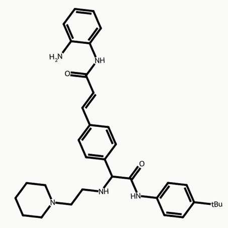 CC(C)(C)c1ccc(NC(=O)C(NCCN2CCCCC2)c2ccc(C=CC(=O)Nc3ccccc3N)cc2)cc1